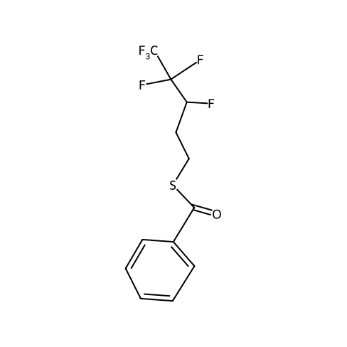 O=C(SCCC(F)C(F)(F)C(F)(F)F)c1ccccc1